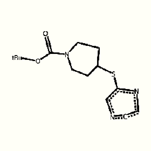 CC(C)(C)OC(=O)N1CCC(Sc2cnccn2)CC1